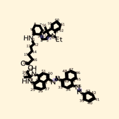 CCN1/C(=C/C=C2\CCCC=C2NCCCCCC(=O)OCC2(C)Nc3cccc4c(/N=N/c5ccc(/N=N/c6ccccc6)c6ccccc56)ccc(c34)N2)C(C)(C)c2ccccc21